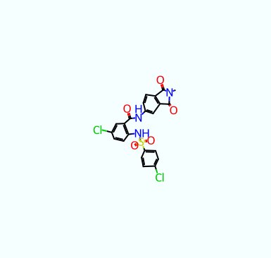 CN1C(=O)c2ccc(NC(=O)c3cc(Cl)ccc3NS(=O)(=O)c3ccc(Cl)cc3)cc2C1=O